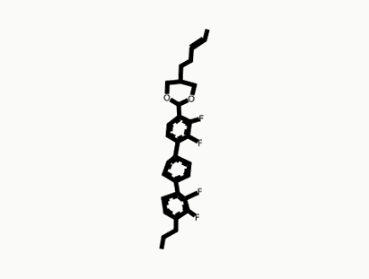 C/C=C/CCC1COC(c2ccc(-c3ccc(-c4ccc(CCC)c(F)c4F)cc3)c(F)c2F)OC1